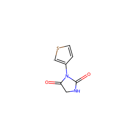 O=C1CNC(=O)N1c1[c]scc1